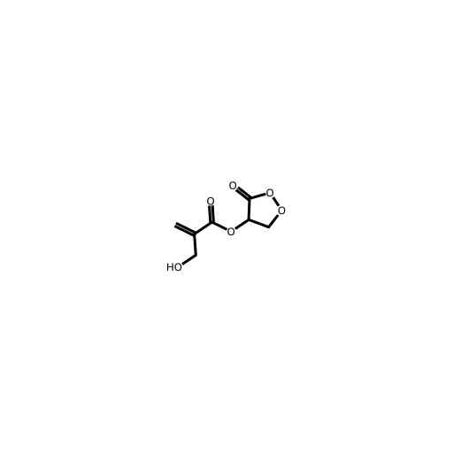 C=C(CO)C(=O)OC1COOC1=O